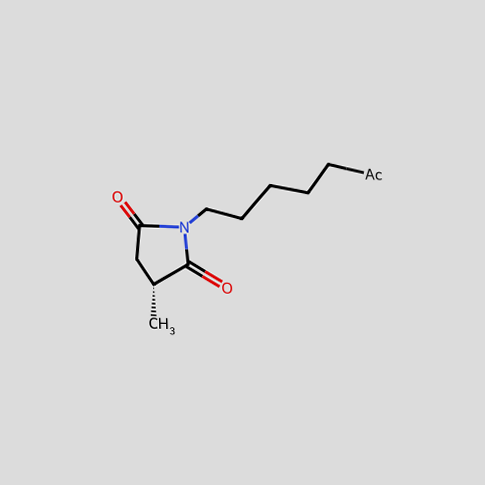 CC(=O)CCCCCN1C(=O)C[C@@H](C)C1=O